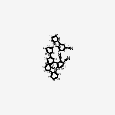 N#Cc1ccc2c(c1)c1ccccc1n2-c1cccc(-c2cccc(-c3c(-n4c5ccccc5c5ccccc54)ccc(C#N)c3C#N)c2)c1